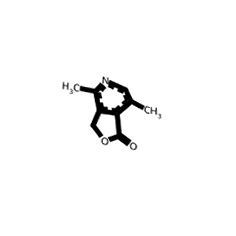 Cc1cnc(C)c2c1C(=O)OC2